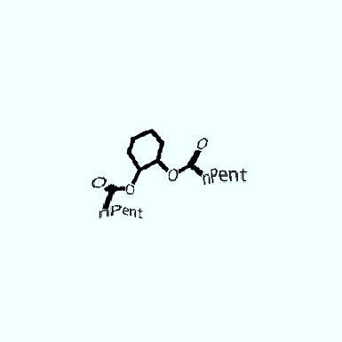 CCCCCC(=O)OC1CCCCC1OC(=O)CCCCC